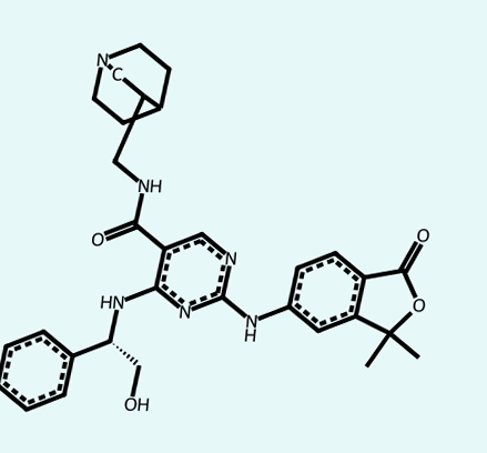 CC1(C)OC(=O)c2ccc(Nc3ncc(C(=O)NCC4CN5CCC4CC5)c(N[C@H](CO)c4ccccc4)n3)cc21